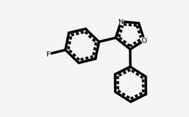 Fc1ccc(-c2ncoc2-c2ccccc2)cc1